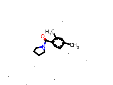 Cc1ccc(C(=O)N2CCCC2)c(C)c1